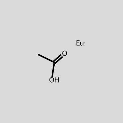 CC(=O)O.[Eu]